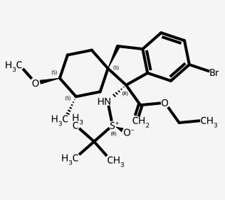 C=C(OCC)[C@]1(N[S@@+]([O-])C(C)(C)C)c2cc(Br)ccc2C[C@@]12CC[C@H](OC)[C@@H](C)C2